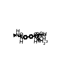 C[C@@H](N)[C@H](NC(=O)c1ccc(-c2ccc(NC(=O)CNC3CC3)cc2)cc1)C(=O)NO